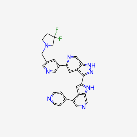 FC1(F)CCN(Cc2cncc(-c3cc4c(-c5cc6c(-c7ccncc7)cncc6[nH]5)n[nH]c4cn3)c2)C1